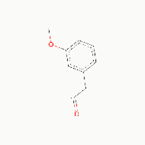 COc1cccc(C[C]=O)c1